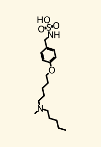 CCCCCN(C)CCCCCOc1ccc(CNS(=O)(=O)O)cc1